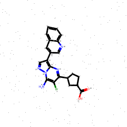 Nc1c(Br)c(C2CCC(C(=O)O)C2)nc2c(-c3cnc4ccccc4c3)cnn12